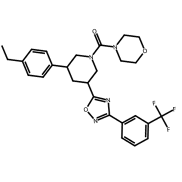 CCc1ccc(C2CC(c3nc(-c4cccc(C(F)(F)F)c4)no3)CN(C(=O)N3CCOCC3)C2)cc1